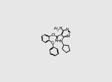 Nc1ncnc2c1c(Oc1ccccc1Oc1ccccc1)nn2C1CCCC1